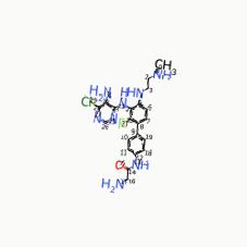 CNCCNc1ccc(-c2ccc(NC(=O)CN)cc2)c(F)c1Nc1ncnc(Cl)c1N